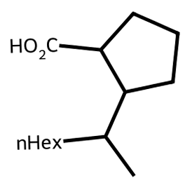 CCCCCCC(C)C1CCCC1C(=O)O